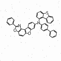 c1ccc(-c2ccc(N(c3ccc4c(c3)oc3ccc5oc(-c6ccccc6)nc5c34)c3cccc4sc5ccccc5c34)cc2)cc1